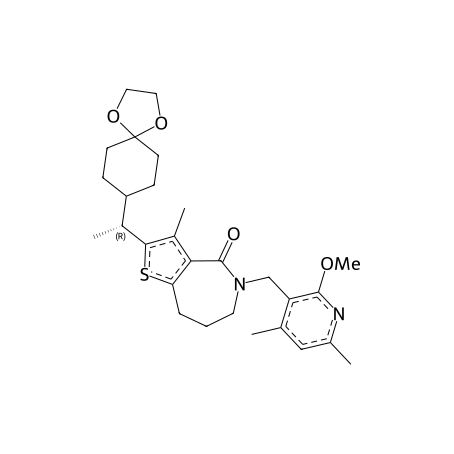 COc1nc(C)cc(C)c1CN1CCCc2sc([C@H](C)C3CCC4(CC3)OCCO4)c(C)c2C1=O